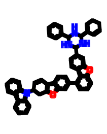 C1=CC(C2NC(c3ccccc3)NC(c3ccc4c(c3)oc3cccc(-c5ccc6c7c(oc6c5)CC(n5c6ccccc6c6ccccc65)C=C7)c34)N2)=CCC1